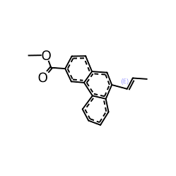 C/C=C/c1cc2ccc(C(=O)OC)cc2c2ccccc12